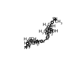 Cc1ncsc1-c1ccc([C@H](C)NC(=O)[C@@H]2C[C@@H](O)CN2C(=O)C(NC(=O)CN2CCN(CCCN3CCN(c4ccc(C(=O)NC5C(C)(C)C(Oc6ccc(C#N)c(C(F)(F)F)c6)C5(C)C)cn4)CC3)CC2)C(C)(C)C)cc1